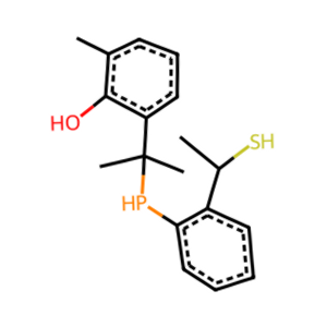 Cc1cccc(C(C)(C)Pc2ccccc2C(C)S)c1O